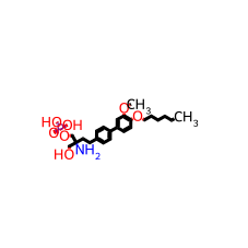 CCCCCCOc1ccc(-c2ccc(CCC(N)(CO)COP(=O)(O)O)cc2)cc1OC